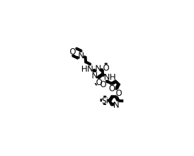 COc1nc(NCCCN2CCOCC2)nc(OC)c1NC(=O)c1ccc(Oc2cc([Si](C)(C)C)cnc2C)o1